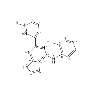 Cc1cccc(-c2nc(Nc3ccncc3F)c3cc[nH]c3n2)n1